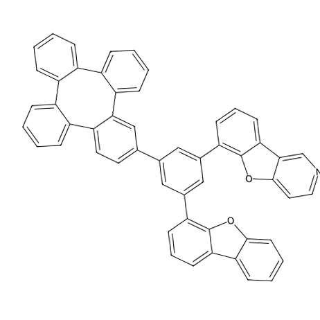 c1ccc2c(c1)-c1ccccc1-c1ccc(-c3cc(-c4cccc5c4oc4ccccc45)cc(-c4cccc5c4oc4ccncc45)c3)cc1-c1ccccc1-2